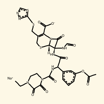 CCN1CCN(C(=O)NC(C(=O)N[C@]2(NC=O)C(=O)N3C(C(=O)[O-])=C(CSc4nncs4)CS[C@H]32)c2cccc(OC(C)=O)c2)C(=O)C1=O.[Na+]